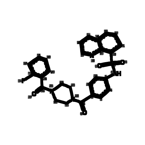 O=C(c1ccc(NS(=O)(=O)c2cccc3cccnc23)cc1)N1CCN(C(=O)c2ccccc2F)CC1